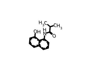 CC(C)C(=O)Nc1cccc2cccc(O)c12